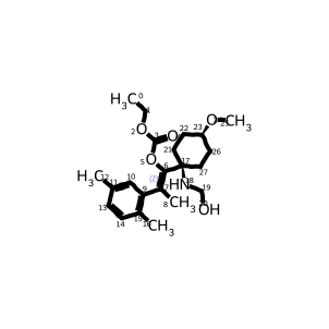 CCOC(=O)O/C(=C(/C)c1cc(C)ccc1C)[C@]1(NCO)CC[C@@H](OC)CC1